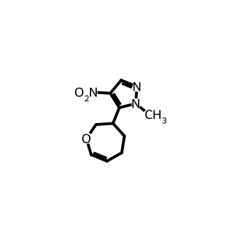 Cn1ncc([N+](=O)[O-])c1C1CCC=COC1